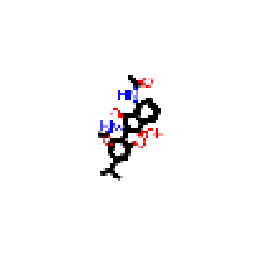 CC(=O)Nc1cccc2c1C(=O)[C@@]1(NC(C)=O)c3ccc(C(C)C)cc3O[C@@]21O